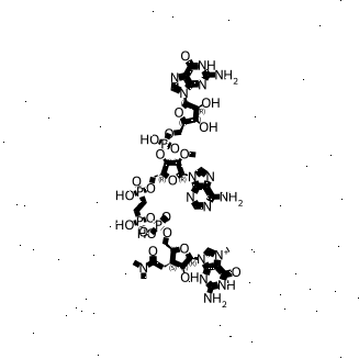 CO[C@@H]1[C@H](OP(=O)(O)OC[C@H]2O[C@@H](n3cnc4c(=O)[nH]c(N)nc43)[C@H](O)[C@@H]2O)[C@@H](COP(=O)(O)CCP(=O)(O)OP(=O)(O)OC[C@H]2O[C@@H](n3c[n+](C)c4c(=O)[nH]c(N)nc43)[C@H](O)[C@@H]2CC(=O)N(C)C)O[C@H]1n1cnc2c(N)ncnc21